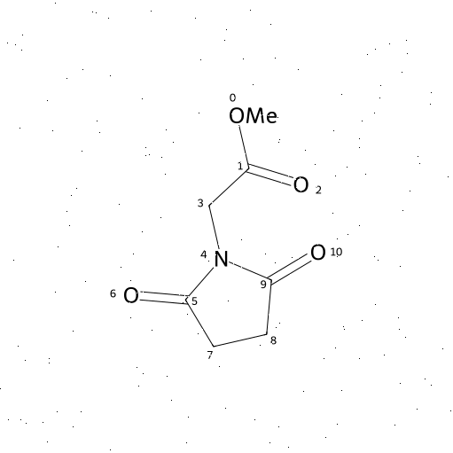 COC(=O)CN1C(=O)CCC1=O